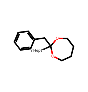 CCCCCCCC1(Cc2ccccc2)OCCCCO1